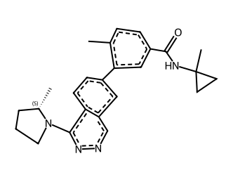 Cc1ccc(C(=O)NC2(C)CC2)cc1-c1ccc2c(N3CCC[C@@H]3C)nncc2c1